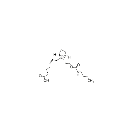 CCCCNC(=O)OCC[C@@H]1[C@@H](C/C=C\CCCC(=O)O)[C@H]2CC[C@@H]1O2